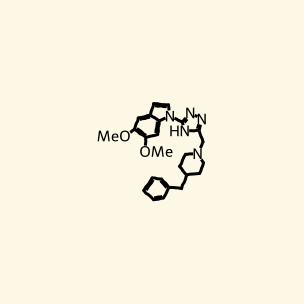 COc1cc2ccn(-c3nnc(CN4CCC(Cc5ccccc5)CC4)[nH]3)c2cc1OC